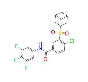 C=C1C2CC1CC(S(=O)(=O)c1cc(C(=O)Nc3cc(F)c(F)c(F)c3)ccc1Cl)C2